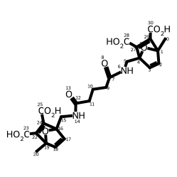 CC12C=CC(CNC(=O)CCCC(=O)NCC34C=CC(C)(O3)C(C(=O)O)=C4C(=O)O)(O1)C(C(=O)O)=C2C(=O)O